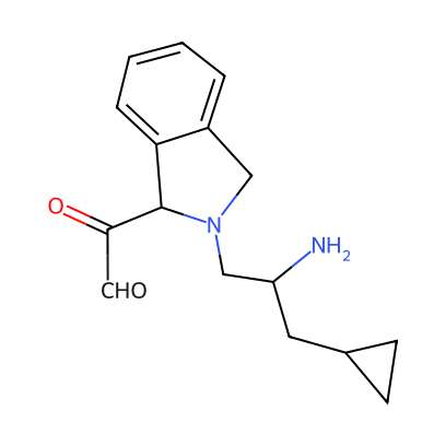 NC(CC1CC1)CN1Cc2ccccc2C1C(=O)C=O